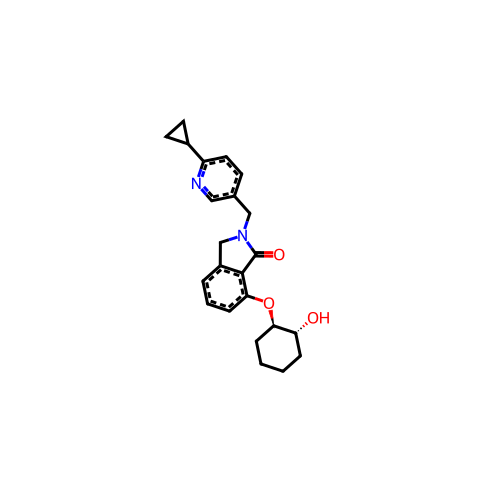 O=C1c2c(cccc2O[C@@H]2CCCC[C@H]2O)CN1Cc1ccc(C2CC2)nc1